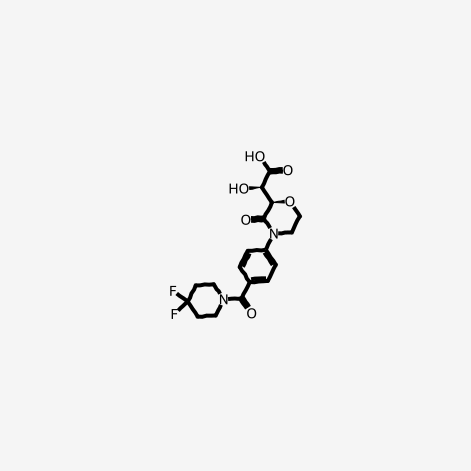 O=C(O)[C@H](O)[C@H]1OCCN(c2ccc(C(=O)N3CCC(F)(F)CC3)cc2)C1=O